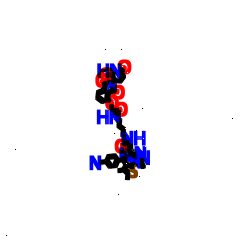 Cc1sc2c(c1C)C(c1ccc(C#N)cc1)=N[C@@H](CC(=O)NCCCCNC(=O)COc1cccc3c1C(=O)N(C1CCC(=O)NC1=O)C3=O)c1nnc(C)n1-2